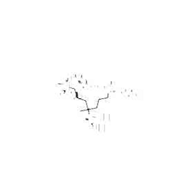 CO[Si](C)(CCCC(C)(CCC[Si](C)(OC)OC)P(O)(=S)S)OC